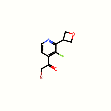 O=C(CBr)c1ccnc(C2COC2)c1F